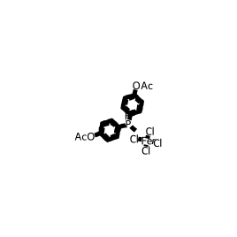 CC(=O)Oc1ccc([PH+](C)c2ccc(OC(C)=O)cc2)cc1.[Cl][Fe-]([Cl])([Cl])[Cl]